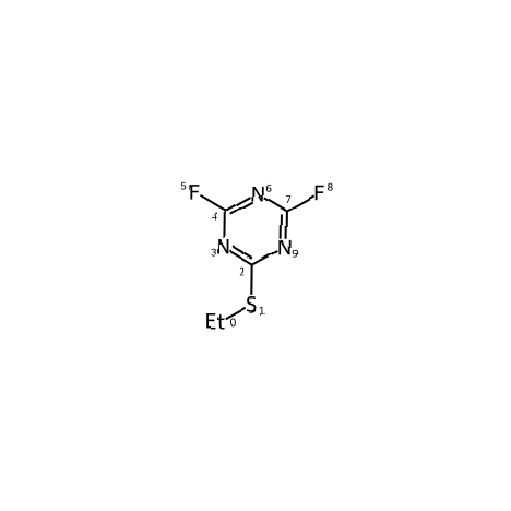 CCSc1nc(F)nc(F)n1